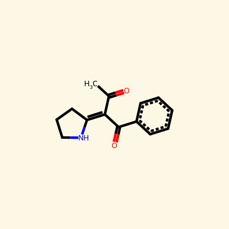 CC(=O)/C(C(=O)c1ccccc1)=C1\CCCN1